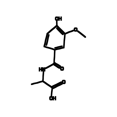 COc1cc(C(=O)NC(C)C(=O)O)ccc1O